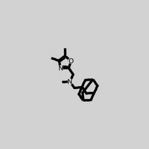 Cc1nc(CN(C)CC23CC4CC(CC(C4)C2)C3)oc1C